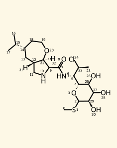 CSC1O[C@H]([C@H](NC(=O)[C@H]2NC[C@@H]3C[C@H](C(C)C)CCO[C@H]32)[C@H](C)Cl)C(O)C(O)[C@H]1O